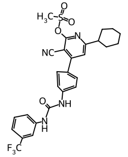 CS(=O)(=O)Oc1nc(C2CCCCC2)cc(-c2ccc(NC(=O)Nc3cccc(C(F)(F)F)c3)cc2)c1C#N